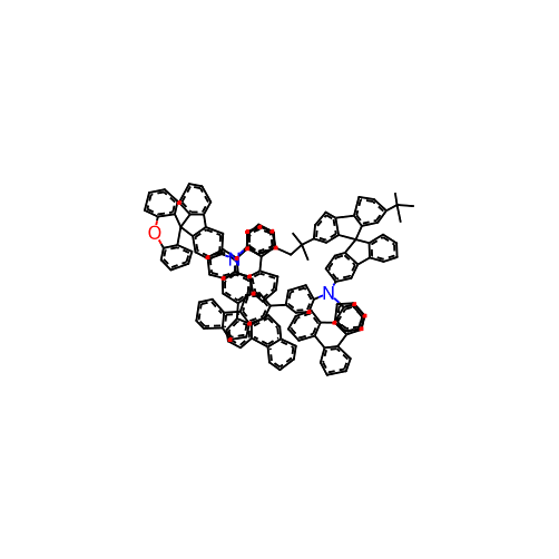 CC(C)(C)c1ccc2c(c1)C1(c3ccccc3-c3cc(N(c4ccc(-c5ccc6c(ccc7ccccc76)c5)cc4)c4ccccc4-c4ccccc4-c4ccccc4-c4ccccc4)ccc31)c1cc(C(C)(C)Cc3cccc(-c4ccccc4-c4ccccc4-c4ccccc4N(c4ccc(-c5cccc6c5ccc5ccccc56)cc4)c4ccc5c(c4)-c4ccccc4C54c5ccccc5Oc5ccccc54)c3)ccc1-2